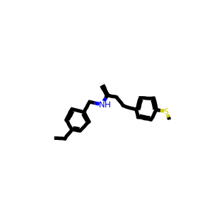 C=C(CCc1ccc(SC)cc1)NCc1ccc(CC)cc1